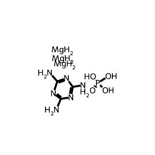 Nc1nc(N)nc(N)n1.O=P(O)(O)O.[MgH2].[MgH2].[MgH2]